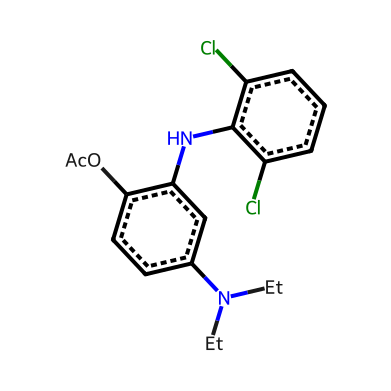 CCN(CC)c1ccc(OC(C)=O)c(Nc2c(Cl)cccc2Cl)c1